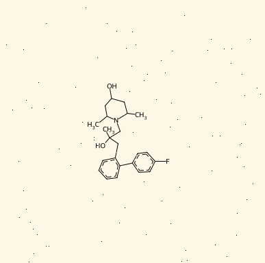 CC1CC(O)CC(C)N1CC(C)(O)Cc1ccccc1-c1ccc(F)cc1